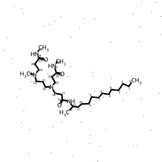 CCCCCCCCCCCCC(C)NC(=O)CCN(CCCN(C)CCC(=O)NC)CCC(=O)NC